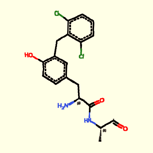 C[C@@H]([C]=O)NC(=O)[C@@H](N)Cc1ccc(O)c(Cc2c(Cl)cccc2Cl)c1